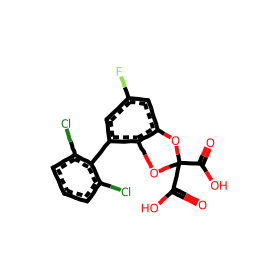 O=C(O)C1(C(=O)O)Oc2cc(F)cc(-c3c(Cl)cccc3Cl)c2O1